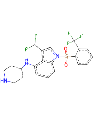 O=S(=O)(c1ccccc1C(F)(F)F)n1cc(C(F)F)c2c(NC3CCNCC3)cccc21